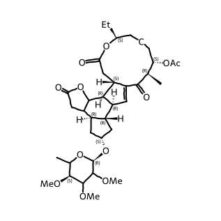 CC[C@H]1CCC[C@H](OC(C)=O)[C@@H](C)C(=O)C2=C[C@H]3[C@@H]4C[C@H](O[C@@H]5OC(C)[C@H](OC)C(OC)C5OC)C[C@H]4C4CC(=O)OC4[C@H]3[C@@H]2CC(=O)O1